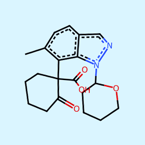 Cc1ccc2cnn(C3CCCCO3)c2c1C1(C(=O)O)CCCCC1=O